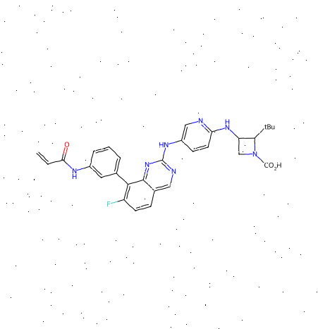 C=CC(=O)Nc1cccc(-c2c(F)ccc3cnc(Nc4ccc(NC5CN(C(=O)O)C5C(C)(C)C)nc4)nc23)c1